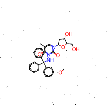 C[O].Cc1cn(C2C[C@H](O)[C@@H](CO)O2)c(=O)n(NC(c2ccccc2)(c2ccccc2)c2ccccc2)c1=O